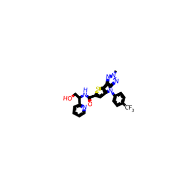 Cn1nc2c3sc(C(=O)NC(CO)c4ccccn4)cc3n(-c3ccc(C(F)(F)F)cc3)c2n1